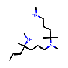 CC=CC(C)(CCCN(C)C(C)(C)CCCNC)NC